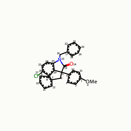 COc1ccc(C2(Cc3ccccc3)C(=O)N(Cc3ccccc3)c3ccc(Cl)cc32)cc1